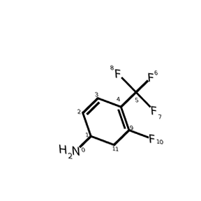 NC1C=CC(C(F)(F)F)=C(F)C1